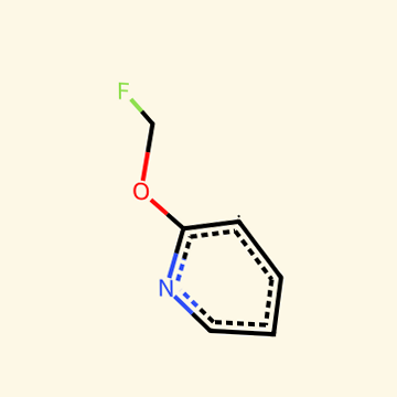 FCOc1[c]cccn1